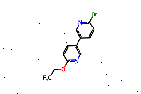 FC(F)(F)COc1ccc(-c2ccc(Br)nc2)cn1